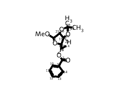 COC1O[C@@]2(C[C@@H]2OC(=O)c2ccccc2)[C@@H]2OC(C)(C)OC12